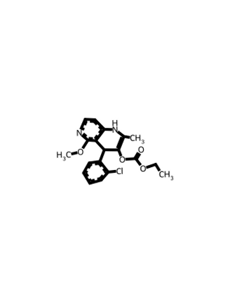 CCOC(=O)OC1=C(C)Nc2ccnc(OC)c2C1c1ccccc1Cl